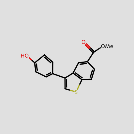 COC(=O)c1ccc2scc(-c3ccc(O)cc3)c2c1